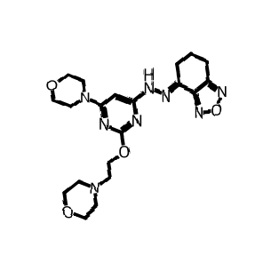 c1c(NN=C2CCCc3nonc32)nc(OCCN2CCOCC2)nc1N1CCOCC1